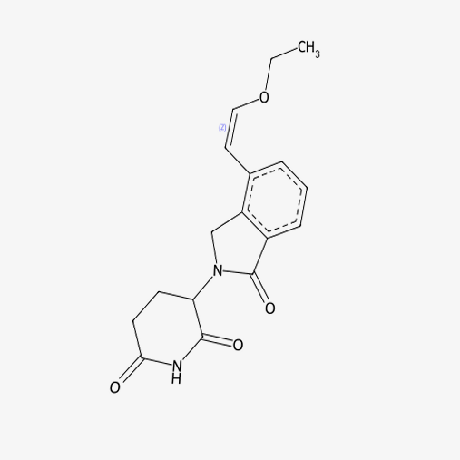 CCO/C=C\c1cccc2c1CN(C1CCC(=O)NC1=O)C2=O